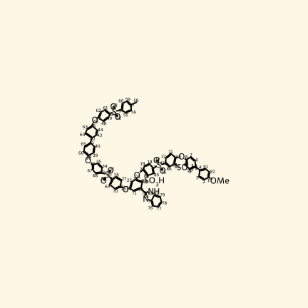 COc1ccc(-c2ccc(Oc3ccc(S(=O)(=O)c4ccc(Oc5cc(Oc6ccc(S(=O)(=O)c7ccc(Oc8ccc(-c9ccc(Oc%10ccc(S(=O)(=O)c%11ccc(C)cc%11)cc%10)cc9)cc8)cc7)cc6)cc(-c6nc7ccccc7[nH]6)c5)c(S(=O)(=O)O)c4)cc3S(=O)(=O)O)cc2)cc1